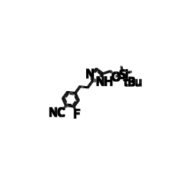 CC(C)(C)[Si](C)(C)OCc1cnc(CCc2ccc(C#N)c(F)c2)[nH]1